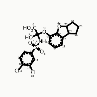 O=C(O)C(O)(NS(=O)(=O)c1ccc(Cl)c(Cl)c1)Oc1cccc2c1OC1CCCC21